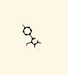 Cc1sc(-c2ccc(Cl)cc2)c(CO)c1C